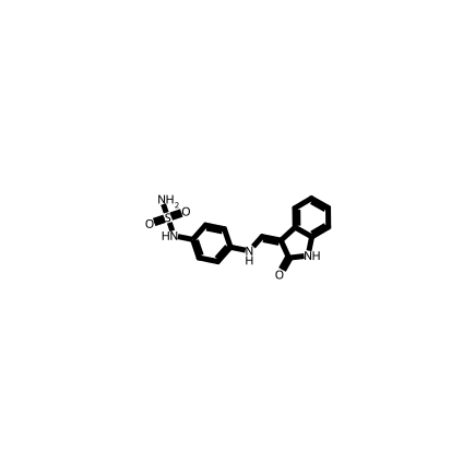 NS(=O)(=O)Nc1ccc(NC=C2C(=O)Nc3ccccc32)cc1